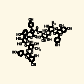 C[C@@H]1O[C@@H](Oc2c(-c3ccc(O)cc3)oc3cc(O)cc(O)c3c2=O)[C@H](O[C@@H]2O[C@H](COC(=O)[C@@H]3[C@H](C(=O)OC[C@H]4O[C@@H](O[C@H]5[C@H](Oc6c(-c7ccc(O)cc7)oc7cc(O)cc(O)c7c6=O)O[C@@H](C)[C@H](O)[C@H]5O)[C@H](O)[C@@H](O)[C@@H]4O)[C@@H](c4ccc(O)cc4)[C@H]3c3ccc(O)cc3)[C@@H](O)[C@H](O)[C@H]2O)[C@H](O)[C@H]1O